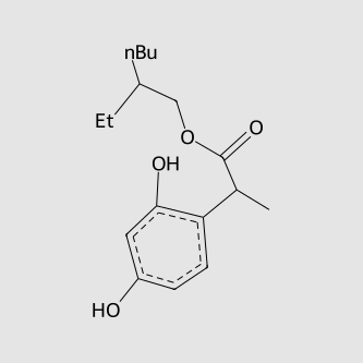 CCCCC(CC)COC(=O)C(C)c1ccc(O)cc1O